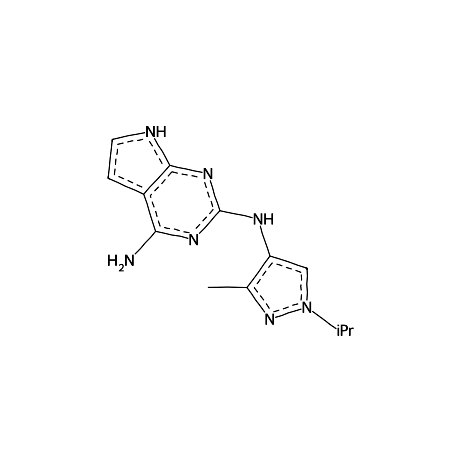 Cc1nn(C(C)C)cc1Nc1nc(N)c2cc[nH]c2n1